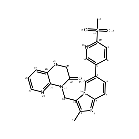 Cc1nc2ccc(-c3ccc(S(C)(=O)=O)nc3)cn2c1CN1C(=O)COc2cccnc21